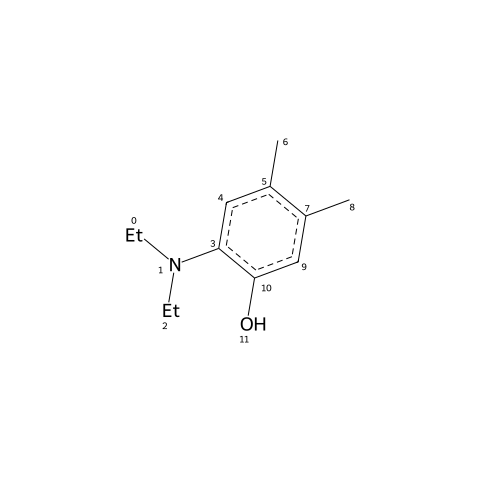 CCN(CC)c1cc(C)c(C)cc1O